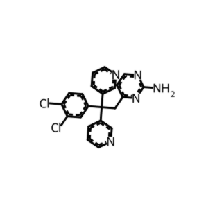 Nc1nccc(CC(c2cccnc2)(c2cccnc2)c2ccc(Cl)c(Cl)c2)n1